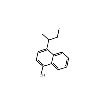 CCC(C)c1ccc(O)c2ccccc12